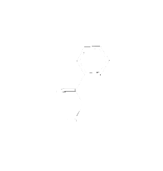 O=C([O][GaH2])c1ccccc1